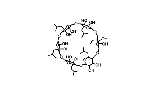 CCC1OC2OC3C(CC(C)C)OC(OC4C(CC(C)C)OC(OC5C(CC(C)C)OC(OC6C(CC(C)C)OC(OC7C(CC(C)C)OC(OC1C(O)=C2O)C(O)C7O)C(O)C6O)C(O)C5O)C(O)C4O)C(O)C3O